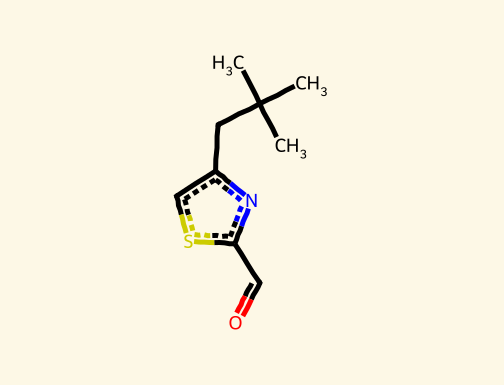 CC(C)(C)Cc1csc(C=O)n1